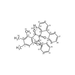 Cc1cc(C)c(C(=O)P(=O)(C(=O)c2ccccc2)c2c(C)cccc2-c2ccccc2)c(C)c1C